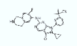 CC(C)(C#N)c1cccc(-n2c3nc(Nc4cc5c(cc4F)CNCC5)ncc3c(=O)n2C2CC2)n1